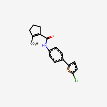 O=C(O)C1=C(C(=O)Nc2ccc(-c3ccc(Cl)s3)cc2)CCC1